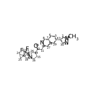 Cn1cc(-c2ccc3cnc(CC(=O)C4CCN(CC5(C(F)(F)F)CC5)C4)cc3c2)cn1